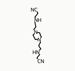 N#CCCNCCCN1CCN(CCCNCCC#N)CC1